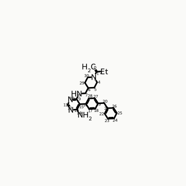 C=C(CC)N1CCC(CNc2ncnc(N)c2-c2ccc(Cc3ccccc3)cc2)CC1